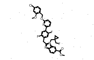 COC(=O)c1ccc2nc(Cc3cc(F)c(-c4cccc(OCc5ccc(Cl)cc5OC)n4)cc3F)n(CC3(CF)CC3)c2c1